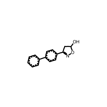 OC1CC(c2ccc(-c3ccccc3)cc2)=NO1